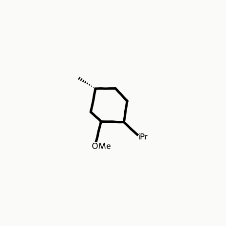 COC1C[C@H](C)CCC1C(C)C